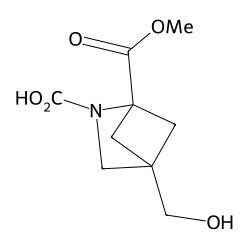 COC(=O)C12CC(CO)(CN1C(=O)O)C2